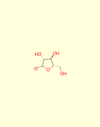 [O]C1O[C@@H](CO)[C@H](O)[C@H]1O